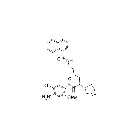 COc1cc(N)c(Cl)cc1C(=O)NC(CCCCNC(=O)c1cccc2ccccc12)[C@@H]1CCNC1